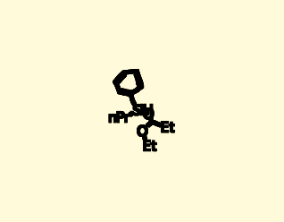 CCC[SiH](OC(CC)OCC)c1ccccc1